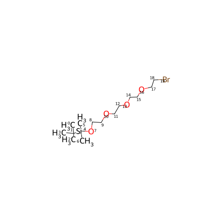 CC(C)(C)[Si](C)(C)OCCOCCOCCOCCBr